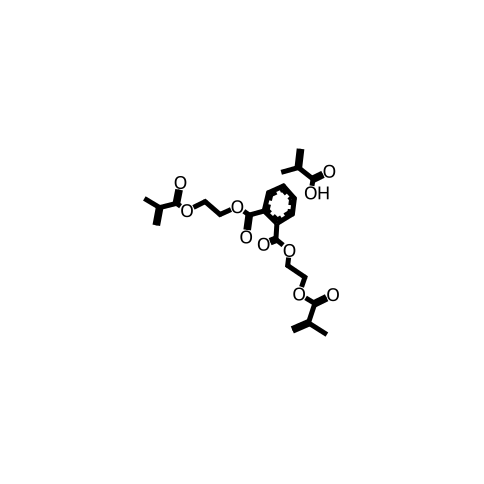 C=C(C)C(=O)O.C=C(C)C(=O)OCCOC(=O)c1ccccc1C(=O)OCCOC(=O)C(=C)C